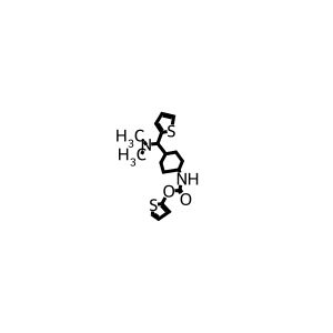 CN(C)C(c1cccs1)C1CCC(NC(=O)Oc2cccs2)CC1